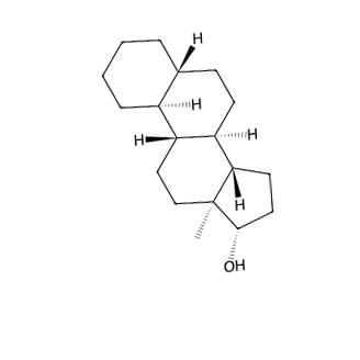 C[C@]12CC[C@H]3[C@@H](CC[C@H]4CCCC[C@@H]43)[C@@H]1CC[C@@H]2O